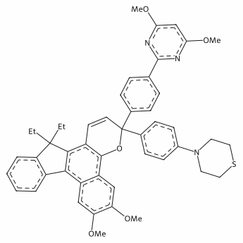 CCC1(CC)c2ccccc2-c2c1c1c(c3cc(OC)c(OC)cc23)OC(c2ccc(-c3nc(OC)cc(OC)n3)cc2)(c2ccc(N3CCSCC3)cc2)C=C1